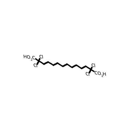 O=C(O)C(Cl)(Cl)CCCCCCCCCCC(Cl)(Cl)C(=O)O